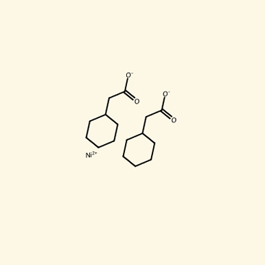 O=C([O-])CC1CCCCC1.O=C([O-])CC1CCCCC1.[Ni+2]